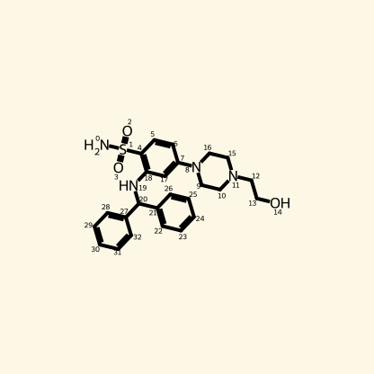 NS(=O)(=O)c1ccc(N2CCN(CCO)CC2)cc1NC(c1ccccc1)c1ccccc1